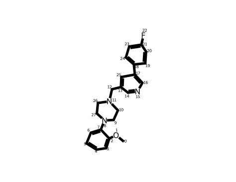 COc1ccccc1N1CCN(Cc2cncc(-c3ccc(F)cc3)c2)CC1